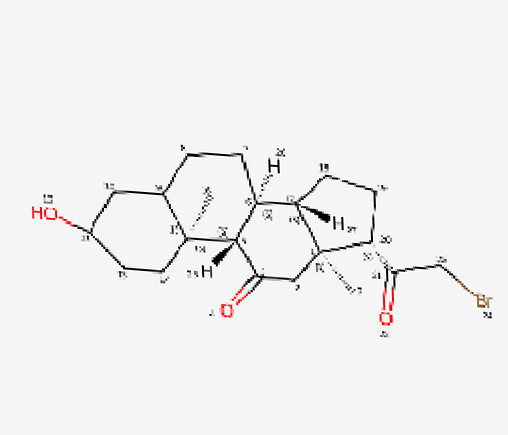 C[C@]12CC(=O)[C@H]3[C@@H](CCC4CC(O)CC[C@@]43C)[C@@H]1CC[C@@H]2C(=O)CBr